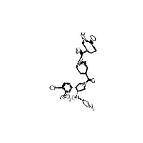 CN(C(=O)O)[C@@H]1CN(C(=O)C2CCN(C(=O)C3CCC(=O)NC3)CC2)C[C@H]1c1ccc(Cl)c(Cl)c1